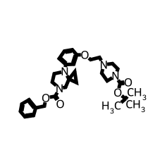 CC(C)(C)OC(=O)N1CCN(CCOc2cccc(N3CCN(C(=O)OCc4ccccc4)CC34CC4)c2)CC1